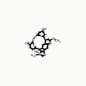 COc1cc2c3cc(ccc3n1)C(O)(c1cncn1C)c1ccc(Cl)c(c1)COc1cc(O)cc-2c1